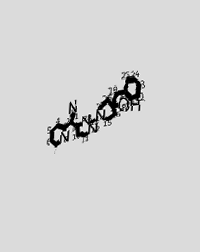 N#CC(c1ccccn1)c1ccnc(N2CCC(O)(Cc3ccccc3)CC2)n1